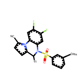 CCC1c2ccc(C#N)n2-c2cc(F)c(F)cc2N1S(=O)(=O)c1cccc(OC)c1